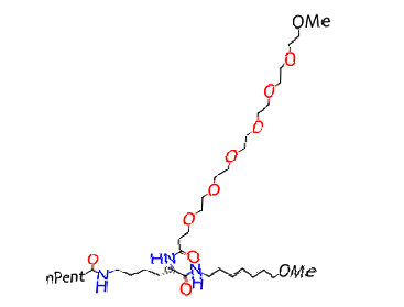 CCCCCC(=O)NCCCC[C@H](NC(=O)CCOCCOCCOCCOCCOCCOCCOC)C(=O)NCCCCCCCOC